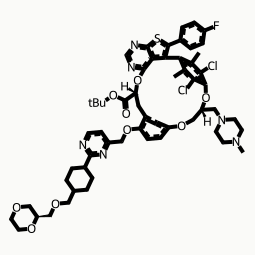 Cc1c(Cl)c2c(Cl)c(C)c1-c1c(-c3ccc(F)cc3)sc3ncnc(c13)O[C@@H](C(=O)OC(C)(C)C)Cc1cc(ccc1OCc1ccnc(C3CCC(COC[C@@H]4COCCO4)CC3)n1)OC[C@@H](CN1CCN(C)CC1)O2